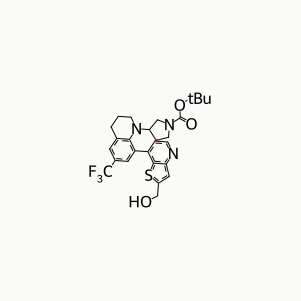 CC(C)(C)OC(=O)N1CCC(N2CCCc3cc(C(F)(F)F)cc(-c4ccnc5cc(CO)sc45)c32)C1